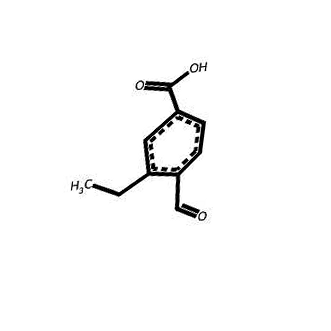 CCc1cc(C(=O)O)ccc1C=O